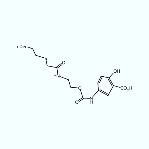 CCCCCCCCCCCCSCC(=O)NCCOC(=O)Nc1ccc(O)c(C(=O)O)c1